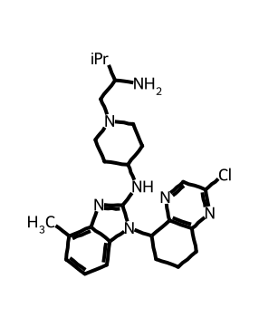 Cc1cccc2c1nc(NC1CCN(CC(N)C(C)C)CC1)n2C1CCCc2nc(Cl)cnc21